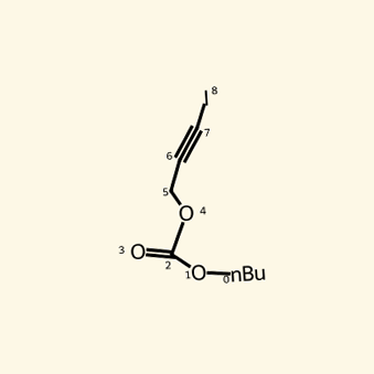 CCCCOC(=O)OCC#CI